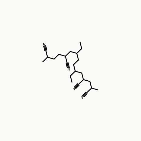 CCC(CCC(CC)CC(C#N)CC(C)C#N)CC(C#N)CCC(C)C#N